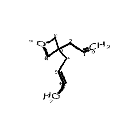 C=CCC1(CC=CO)COC1